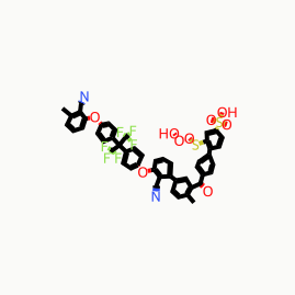 Cc1ccc(-c2cccc(Oc3ccc(C(c4ccc(Oc5cccc(C)c5C#N)cc4)(C(F)(F)F)C(F)(F)F)cc3)c2C#N)cc1C(=O)c1ccc(-c2ccc(S(=O)(=O)O)cc2SOOO)cc1